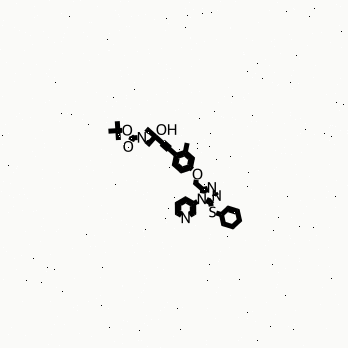 Cc1cc(OCc2nnc(SC3C=CCCC3)n2-c2cccnc2)ccc1C#CC1(O)CN(C(=O)OC(C)(C)C)C1